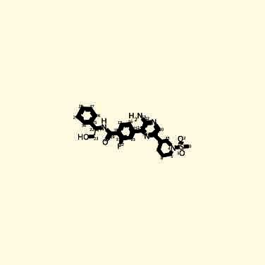 CS(=O)(=O)N1CCCC(c2cnc(N)c(-c3ccc(C(=O)N[C@H](CO)c4ccccc4)c(F)c3)n2)C1